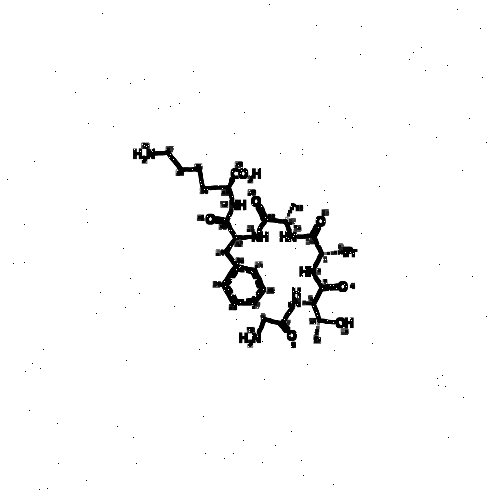 CC(C)[C@H](NC(=O)[C@@H](NC(=O)CN)[C@@H](C)O)C(=O)N[C@@H](C)C(=O)N[C@@H](Cc1ccccc1)C(=O)N[C@@H](CCCCN)C(=O)O